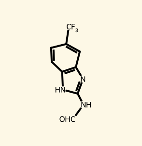 O=CNc1nc2cc(C(F)(F)F)ccc2[nH]1